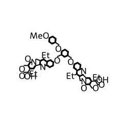 CCc1c2c(nc3ccc(OCc4ccc(OCc5ccc(OC)cc5)c(COc5ccc6nc7c(c(CC)c6c5)Cn5c-7cc6c(c5=O)COC(=O)[C@]6(O)CC)c4)cc13)-c1cc3c(c(=O)n1C2)COC(=O)[C@]3(O)CC